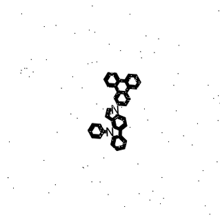 c1ccc(-n2c3ccccc3c3ccc4c(ccn4-c4ccc5c6ccccc6c6ccccc6c5c4)c32)cc1